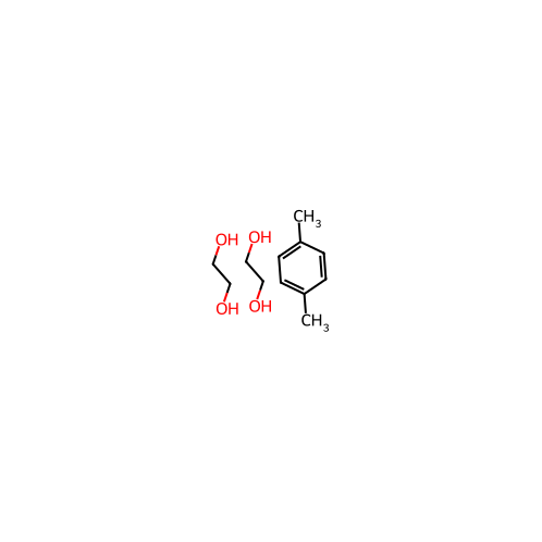 Cc1ccc(C)cc1.OCCO.OCCO